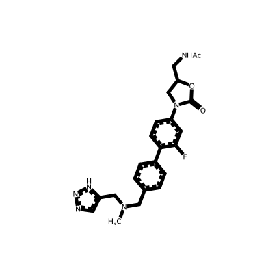 CC(=O)NCC1CN(c2ccc(-c3ccc(CN(C)Cc4cnn[nH]4)cc3)c(F)c2)C(=O)O1